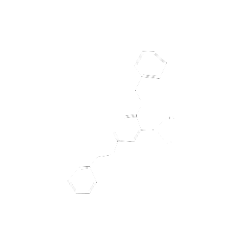 CCC[CH2][SnH]([CH2]CCC)/[C](=C/C(=O)OCc1ccccc1)C(=O)OCc1ccccc1